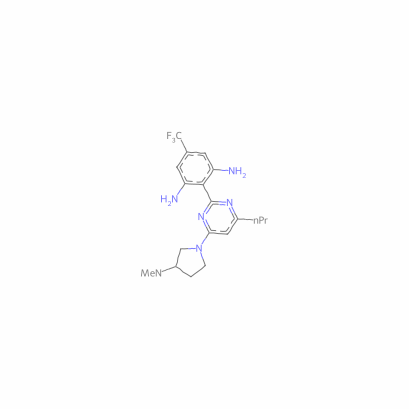 CCCc1cc(N2CCC(NC)C2)nc(-c2c(N)cc(C(F)(F)F)cc2N)n1